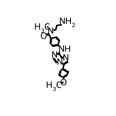 COc1ccc(-c2cnc3c(Nc4ccc(C(=O)N(C)CCCN)cc4)nccn23)cc1